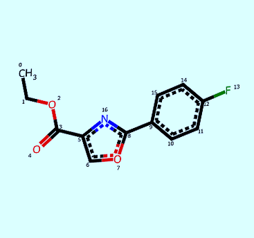 CCOC(=O)c1coc(-c2ccc(F)cc2)n1